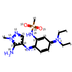 CC[N+](CC)=C1C=C/C(=N/c2cnn(C)c2N)C(NS(C)(=O)=O)=C1